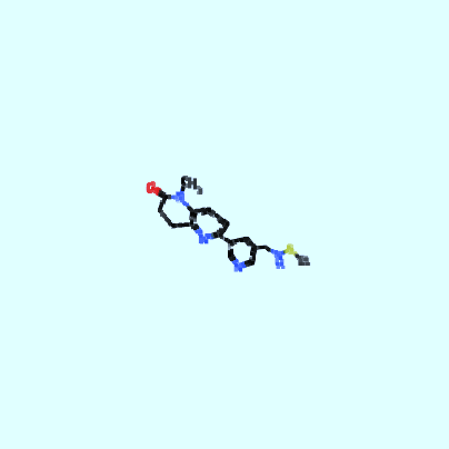 CCSNCc1cncc(-c2ccc3c(n2)CCC(=O)N3C)c1